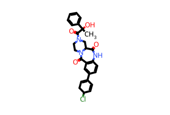 CC(O)(C(=O)N1CCN2C(=O)c3cc(C4=CCC(Cl)C=C4)ccc3NC(=O)C2C1)c1ccccc1